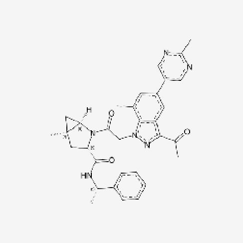 CC(=O)c1nn(CC(=O)N2[C@H](C(=O)N[C@@H](C)c3ccccc3)C[C@@]3(C)C[C@@H]23)c2c(C)cc(-c3cnc(C)nc3)cc12